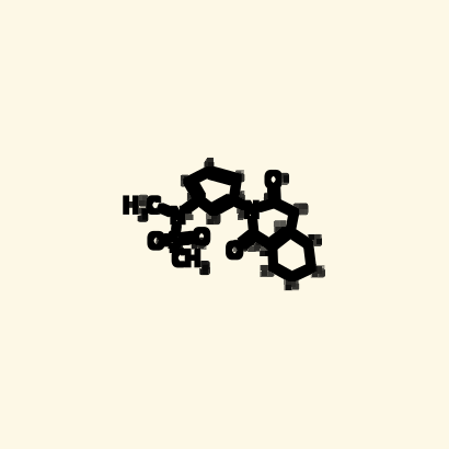 CN(c1cccc(N2C(=O)CC3=C(CCCC3)C2=O)c1)S(C)(=O)=O